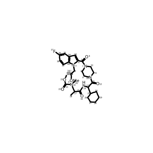 COCCn1c(C(=O)N2CCN(C(=O)C(NC(=O)C(C)N(C)C(=O)OC(C)(C)C)C3CCCCC3)CC2)cc2cc(F)ccc21